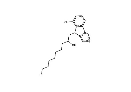 OC(CCCCCCCF)CC1c2c(Cl)cccc2-c2cncn21